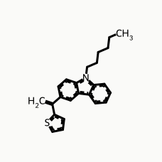 C=C(c1ccc2c(c1)c1ccccc1n2CCCCCC)c1cccs1